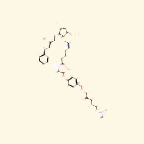 CC(NC(=O)CCC/C=C\C[C@@H]1[C@@H](CC[C@@H](O)CCc2ccccc2)[C@H](O)C[C@@H]1O)C(=O)Oc1ccc(COCC(=O)CCCO[N+](=O)[O-])cc1